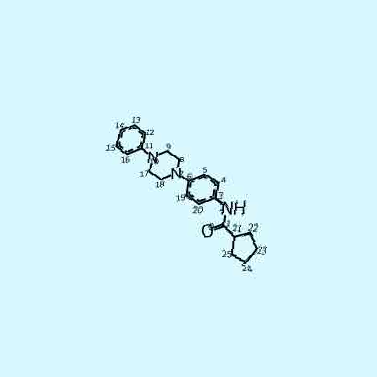 O=C(Nc1ccc(N2CCN(c3[c]cccc3)CC2)cc1)C1CCCC1